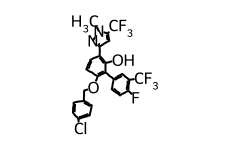 Cn1nc(-c2ccc(OCc3ccc(Cl)cc3)c(-c3ccc(F)c(C(F)(F)F)c3)c2O)cc1C(F)(F)F